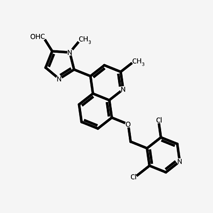 Cc1cc(-c2ncc(C=O)n2C)c2cccc(OCc3c(Cl)cncc3Cl)c2n1